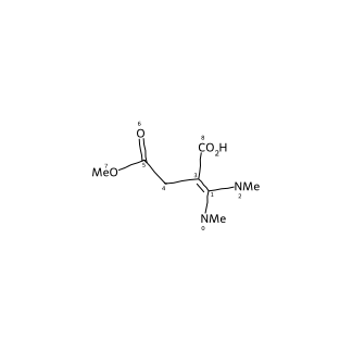 CNC(NC)=C(CC(=O)OC)C(=O)O